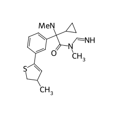 CNC(C(=O)N(C)C=N)(c1cccc(C2=CC(C)CS2)c1)C1CC1